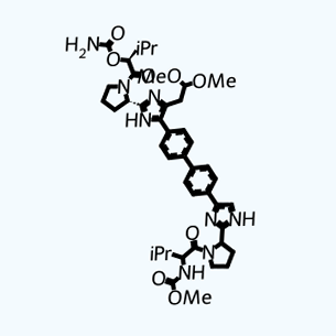 COC(=O)NC(C(=O)N1CCCC1c1nc(-c2ccc(-c3ccc(-c4[nH]c([C@@H]5CCCN5C(=O)[C@@H](OC(N)=O)C(C)C)nc4CC(OC)OC)cc3)cc2)c[nH]1)C(C)C